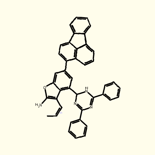 C/C=C\c1c(N)oc2cc(-c3ccc4c5c(cccc35)-c3ccccc3-4)cc(C3N=C(c4ccccc4)N=C(c4ccccc4)N3)c12